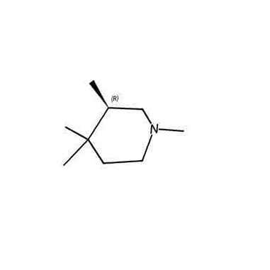 C[C@H]1CN(C)CCC1(C)C